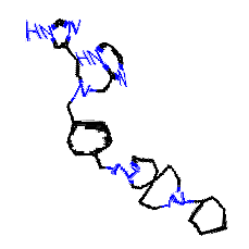 c1c[nH]c(CN(CCc2c[nH]cn2)Cc2ccc(CN3CCC4(CCN(C5CCCCC5)CC4)C3)cc2)n1